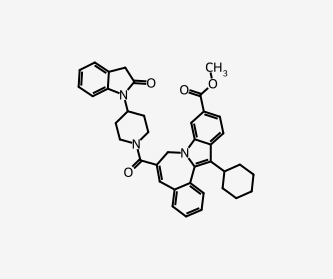 COC(=O)c1ccc2c(C3CCCCC3)c3n(c2c1)CC(C(=O)N1CCC(N2C(=O)Cc4ccccc42)CC1)=Cc1ccccc1-3